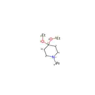 CCOC1(OCC)CCN(C(C)C)CC1